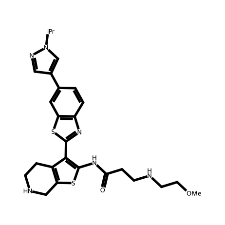 COCCNCCC(=O)Nc1sc2c(c1-c1nc3ccc(-c4cnn(C(C)C)c4)cc3s1)CCNC2